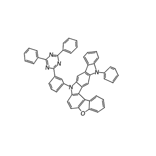 c1ccc(-c2nc(-c3ccccc3)nc(-c3cccc(-n4c5cc6c7ccccc7n(-c7ccccc7)c6cc5c5c6c(ccc54)oc4ccccc46)c3)n2)cc1